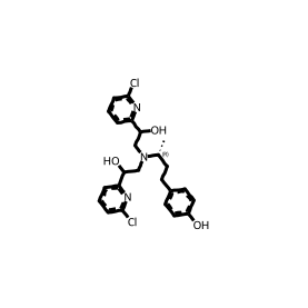 C[C@H](CCc1ccc(O)cc1)N(CC(O)c1cccc(Cl)n1)CC(O)c1cccc(Cl)n1